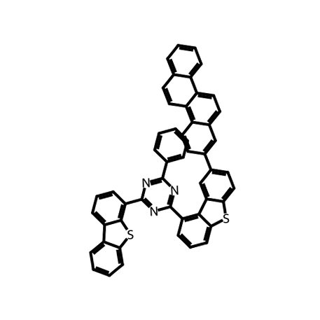 c1ccc(-c2nc(-c3cccc4c3sc3ccccc34)nc(-c3cccc4sc5ccc(-c6ccc7c(ccc8c9ccccc9ccc78)c6)cc5c34)n2)cc1